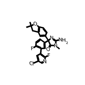 CN1C(=O)C(c2ccc3c(c2)CC(C)(C)O3)(c2ccc(F)c(-c3cc(Cl)cnc3F)c2)N=C1N